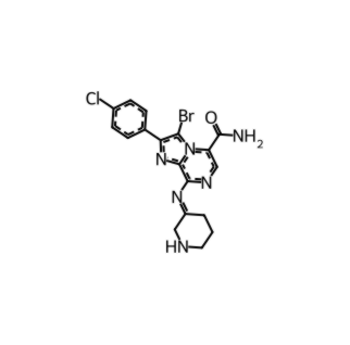 NC(=O)c1cnc(/N=C2\CCCNC2)c2nc(-c3ccc(Cl)cc3)c(Br)n12